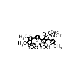 C=C1c2c(C)sc(-c3ccc(C4=C5C(=O)N(C(CCCCCCCC)CCCCCCCCCC)C(c6ccc(C)s6)=C5C(=O)N4C(CCCCCCCC)CCCCCCCCCC)s3)c2C(=O)N1CCCCCCCC